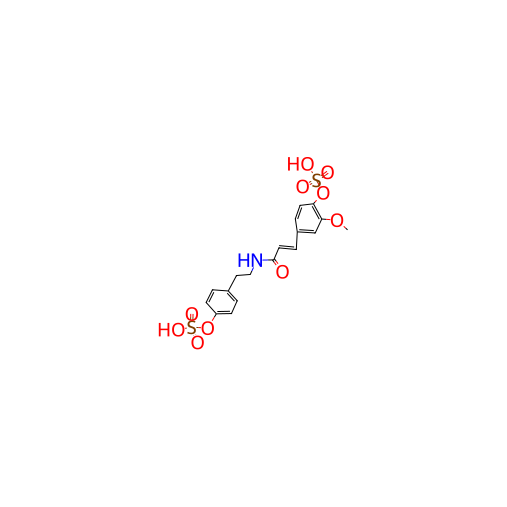 COc1cc(/C=C/C(=O)NCCc2ccc(OS(=O)(=O)O)cc2)ccc1OS(=O)(=O)O